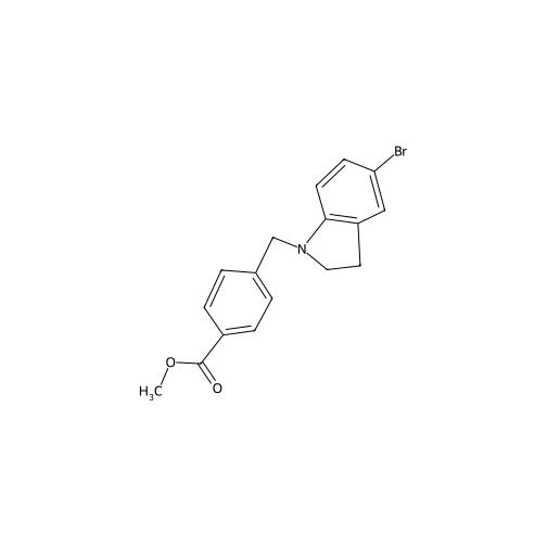 COC(=O)c1ccc(CN2CCc3cc(Br)ccc32)cc1